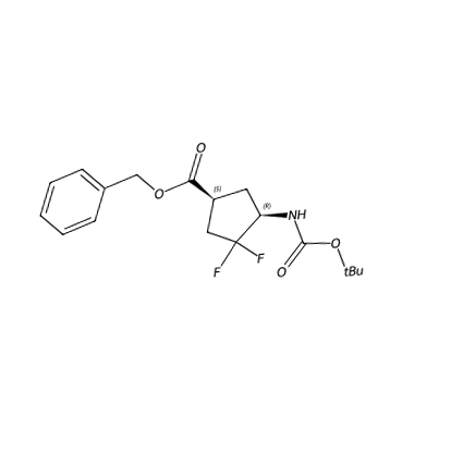 CC(C)(C)OC(=O)N[C@@H]1C[C@H](C(=O)OCc2ccccc2)CC1(F)F